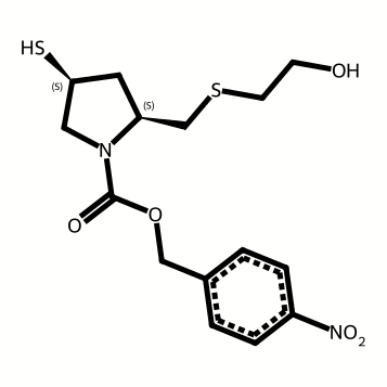 O=C(OCc1ccc([N+](=O)[O-])cc1)N1C[C@@H](S)C[C@H]1CSCCO